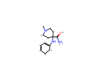 CN1CCC(NC2=CC=CCC2)(C(N)=O)CC1